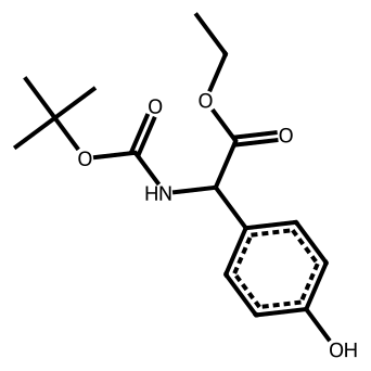 CCOC(=O)C(NC(=O)OC(C)(C)C)c1ccc(O)cc1